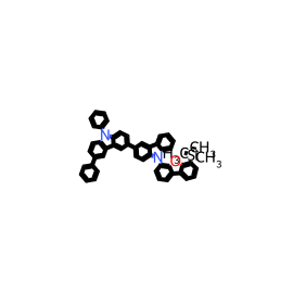 C[Si](C)(C)c1cccc2c1oc1c(-n3c4ccccc4c4cc(-c5ccc6c(c5)c5cc(-c7ccccc7)ccc5n6-c5ccccc5)ccc43)cccc12